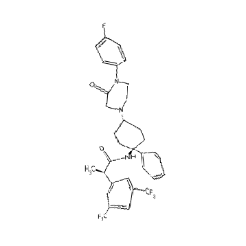 C[C@@H](C(=O)N[C@]1(c2ccccc2)CC[C@@H](N2CCN(c3ccc(F)cc3)C(=O)C2)CC1)c1cc(C(F)(F)F)cc(C(F)(F)F)c1